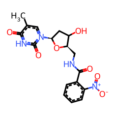 Cc1cn([C@H]2CC(O)[C@@H](CNC(=O)c3ccccc3[N+](=O)[O-])O2)c(=O)[nH]c1=O